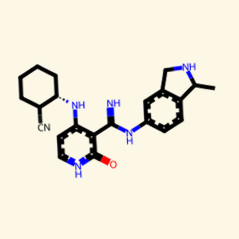 CC1NCc2cc(NC(=N)c3c(N[C@H]4CCCCC4C#N)cc[nH]c3=O)ccc21